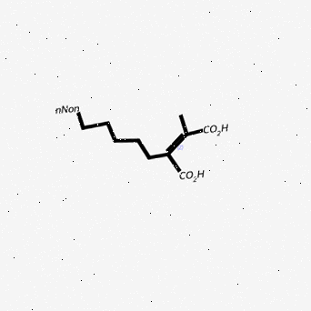 CCCCCCCCCCCCCC/C(C(=O)O)=C(\C)C(=O)O